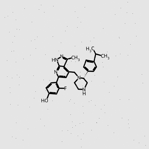 Cc1n[nH]c2nc(-c3ccc(O)cc3F)cc(CN3CCNC[C@H]3c3ccc(C(C)C)cc3)c12